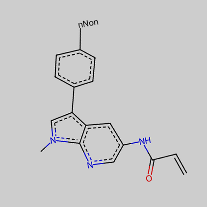 C=CC(=O)Nc1cnc2c(c1)c(-c1ccc(CCCCCCCCC)cc1)cn2C